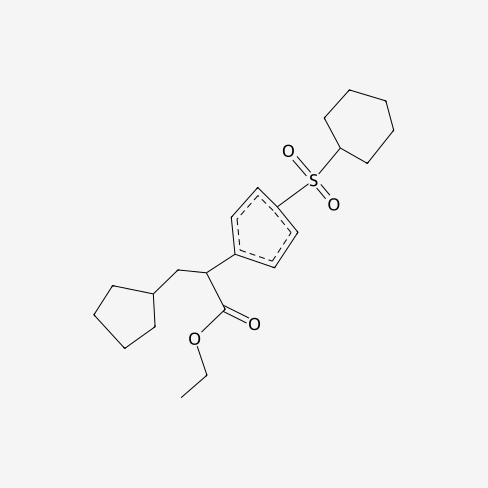 CCOC(=O)C(CC1CCCC1)c1ccc(S(=O)(=O)C2CCCCC2)cc1